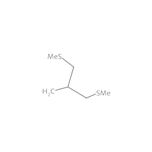 [CH2]C(CSC)CSC